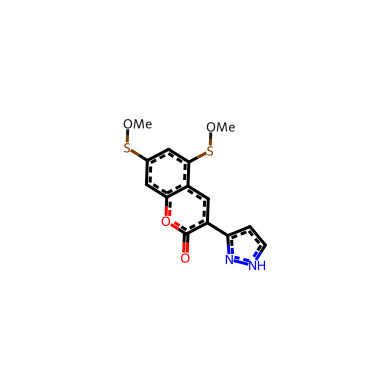 COSc1cc(SOC)c2cc(-c3cc[nH]n3)c(=O)oc2c1